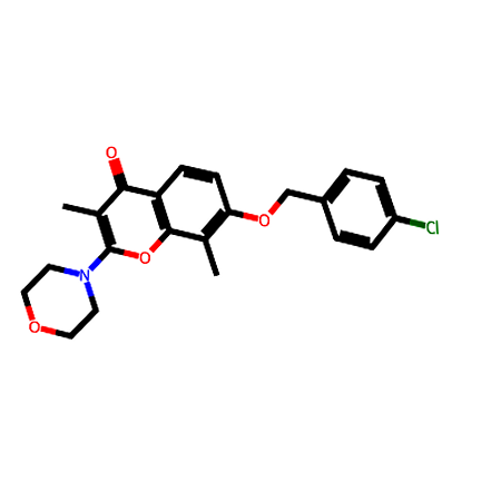 Cc1c(N2CCOCC2)oc2c(C)c(OCc3ccc(Cl)cc3)ccc2c1=O